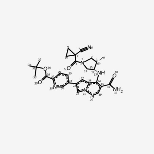 C[C@H]1CN(C(=O)C2(C#N)CC2)C[C@H]1Nc1c(C(N)=O)cnn2cc(-c3ccc(C(=O)OC(C)(C)C)nc3)cc12